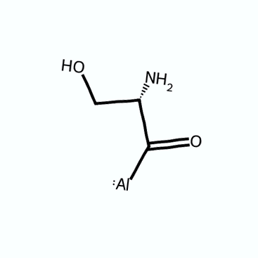 N[C@@H](CO)[C](=O)[Al]